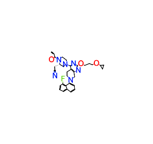 C=CC(=O)N1CCN(c2nc(OCCCOC3CC3)nc3c2CCN(c2cccc4cccc(F)c24)C3)C[C@@H]1CC#N